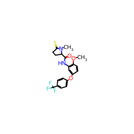 COc1ccc(Oc2ccc(C(F)(F)F)cc2)cc1NC(=O)C1CCC(=S)N1C